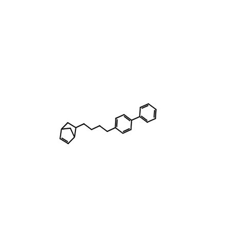 C1=CC2CC1CC2CCCCc1ccc(-c2ccccc2)cc1